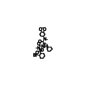 CN(C(=O)[C@H](Cc1ccccc1)NC(=O)N(C)S(=O)(=O)c1ccccc1Br)c1ccc2c(c1)OCO2